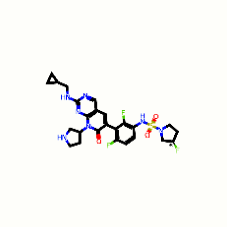 O=c1c(-c2c(F)ccc(NS(=O)(=O)N3CC[C@@H](F)C3)c2F)cc2cnc(NCC3CC3)nc2n1C1CCNC1